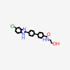 O=C(NCCO)c1ccc(-c2ccc(-c3nc4cc(Cl)ccc4[nH]3)cc2)cc1